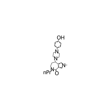 CCCN1CCC(N2CCN(c3ccc(O)cc3)CC2)c2cn(C)cc2C1=O